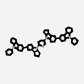 C1=Cc2c(n(-c3ccc(N4c5ccc(-c6ccc7c(c6)c6ccccc6n7-c6ccccc6)cc5C5C=CCC54)nc3)c3ccc(-c4ccc5c(c4)c4ccccc4n5-c4ccccc4)cc23)C1